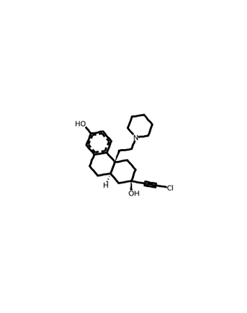 Oc1ccc2c(c1)CC[C@@H]1C[C@@](O)(C#CCl)CC[C@@]21CCN1CCCCC1